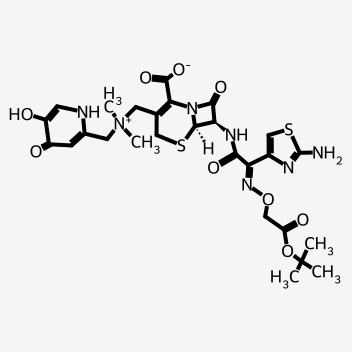 CC(C)(C)OC(=O)CO/N=C(/C(=O)N[C@@H]1C(=O)N2C(C(=O)[O-])=C(C[N+](C)(C)Cc3cc(=O)c(O)c[nH]3)CS[C@H]12)c1csc(N)n1